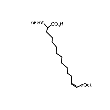 CCCCCCCC/C=C\CCCCCCCCCCC(CCCCC)C(=O)O